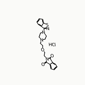 Cl.O=C1c2ccccc2C(=O)N1CCOCCN1CCN(c2nsc3ccccc23)CC1